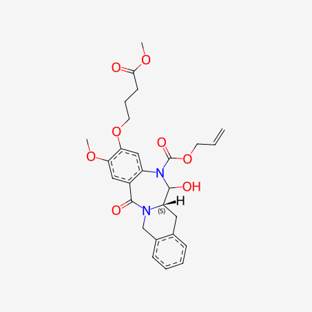 C=CCOC(=O)N1c2cc(OCCCC(=O)OC)c(OC)cc2C(=O)N2Cc3ccccc3C[C@H]2C1O